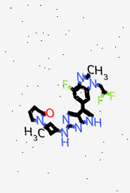 Cc1nc2c(F)cc(-c3c[nH]c4nc(NC5CC(C)(N6CCCC6=O)C5)ncc34)cc2n1CC(F)F